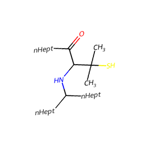 CCCCCCCC(=O)C(NC(CCCCCCC)CCCCCCC)C(C)(C)S